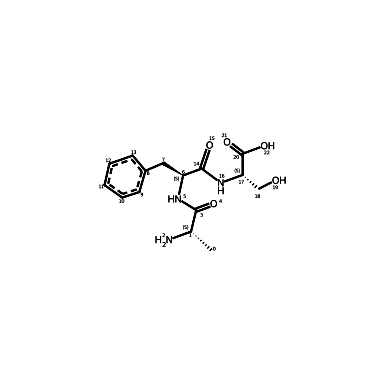 C[C@H](N)C(=O)N[C@@H](Cc1ccccc1)C(=O)N[C@@H](CO)C(=O)O